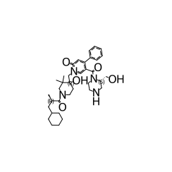 C[C@H](CC1CCCCC1)C(=O)N1CC[C@](O)(Cn2cc(C(=O)N3CCNC[C@H]3CO)c(-c3ccccc3)cc2=O)C(C)(C)C1